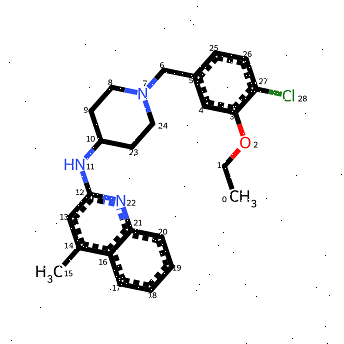 CCOc1cc(CN2CCC(Nc3cc(C)c4ccccc4n3)CC2)ccc1Cl